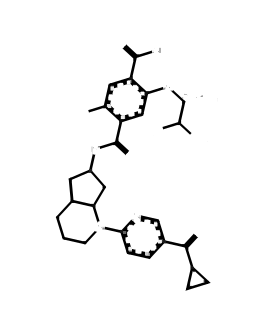 Cc1cc(C(N)=O)c(N[C@H](C)C(C)C)cc1C(=O)NC1CC2CCCN(c3ccc(C(=O)C4CC4)cn3)C2C1